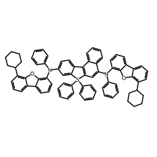 c1ccc(N(c2ccc3c(c2)S(c2ccccc2)(c2ccccc2)c2cc(N(c4ccccc4)c4cccc5c4oc4c(C6CCCCC6)cccc45)c4ccccc4c2-3)c2cccc3c2oc2c(C4CCCCC4)cccc23)cc1